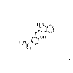 CC(=Cc1cc(C(=N)N)ccc1O)Cc1ccccc1N